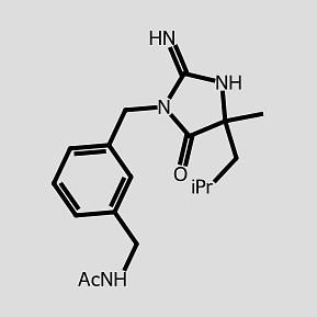 CC(=O)NCc1cccc(CN2C(=N)NC(C)(CC(C)C)C2=O)c1